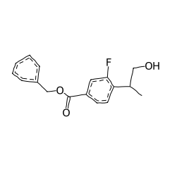 CC(CO)c1ccc(C(=O)OCc2ccccc2)cc1F